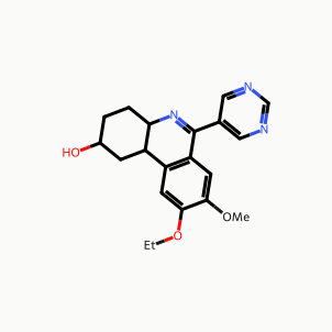 CCOc1cc2c(cc1OC)C(c1cncnc1)=NC1CCC(O)CC21